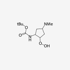 CNC1CC(NC(=O)OC(C)(C)C)C(OO)C1